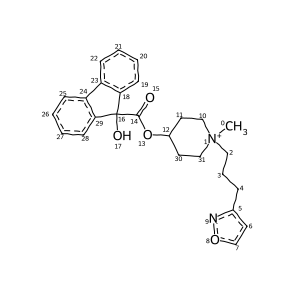 C[N+]1(CCCc2ccon2)CCC(OC(=O)C2(O)c3ccccc3-c3ccccc32)CC1